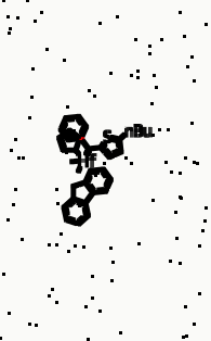 CCCCc1ccc([C](c2ccccc2)=[Hf]([CH3])([CH3])([c]2cccc3c2Cc2ccccc2-3)[CH]2C=CC=C2)s1